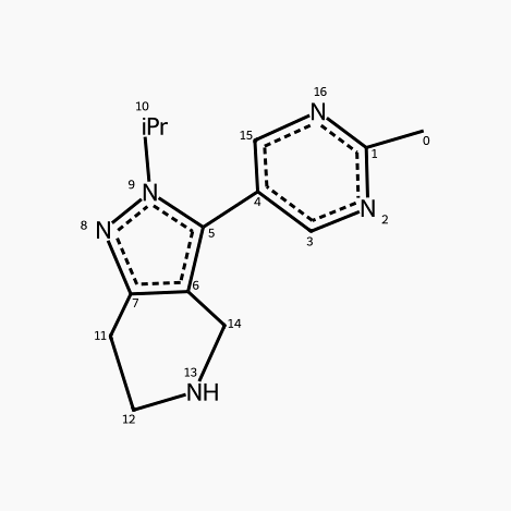 Cc1ncc(-c2c3c(nn2C(C)C)CCNC3)cn1